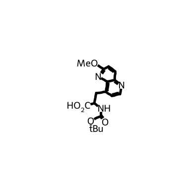 COc1ccc2nccc(CC(NC(=O)OC(C)(C)C)C(=O)O)c2n1